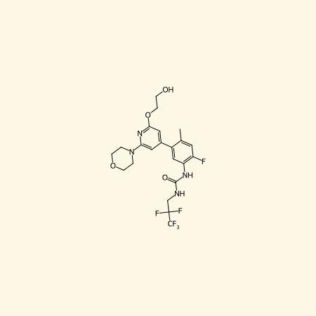 Cc1cc(F)c(NC(=O)NCC(F)(F)C(F)(F)F)cc1-c1cc(OCCO)nc(N2CCOCC2)c1